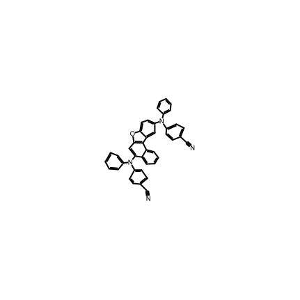 N#Cc1ccc(N(c2ccccc2)c2ccc3oc4cc(N(c5ccccc5)c5ccc(C#N)cc5)c5ccccc5c4c3c2)cc1